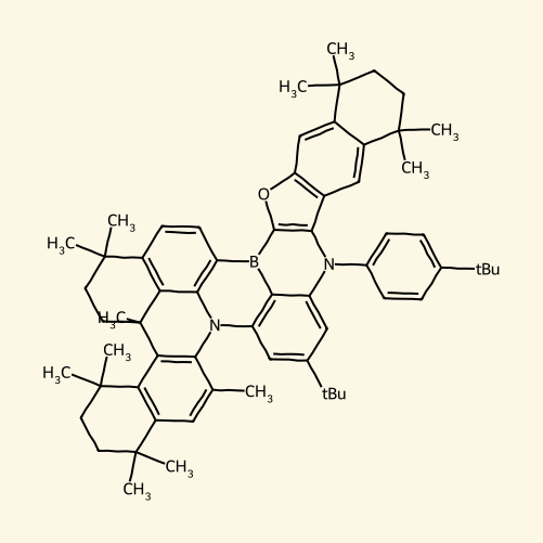 Cc1cc2c(c3c1N1c4cc(C(C)(C)C)cc5c4B(c4ccc6c(c41)C3(C)CCC6(C)C)c1oc3cc4c(cc3c1N5c1ccc(C(C)(C)C)cc1)C(C)(C)CCC4(C)C)C(C)(C)CCC2(C)C